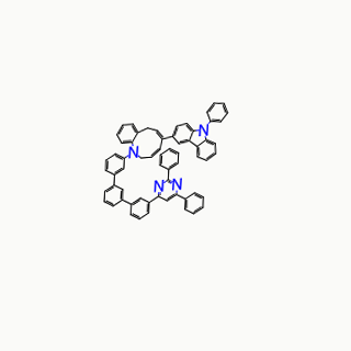 C1=C\C(c2ccc3c(c2)c2ccccc2n3-c2ccccc2)=C/Cc2ccccc2N(c2cccc(-c3cccc(-c4cccc(-c5cc(-c6ccccc6)nc(-c6ccccc6)n5)c4)c3)c2)C/1